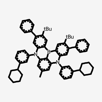 Cc1cc2c3c(c1)N(c1cccc(C4CCCCC4)c1)c1cc(-c4ccccc4)c(C(C)(C)C)cc1B3c1cc(C(C)(C)C)c(-c3ccccc3)cc1N2c1cccc(C2CCCCC2)c1